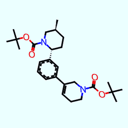 C[C@H]1CC[C@H](c2cccc(C3=CCCN(C(=O)OC(C)(C)C)C3)c2)N(C(=O)OC(C)(C)C)C1